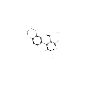 COC(=O)c1c(C)nc(N)c(C(C)=O)c1-c1ccc2c(c1)CCCO2